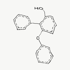 Oc1cccc(Oc2ccccc2)c1-c1ccccc1